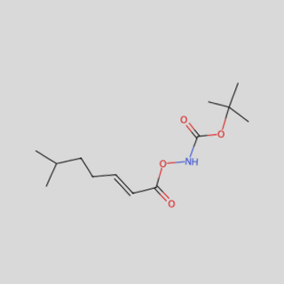 CC(C)CCC=CC(=O)ONC(=O)OC(C)(C)C